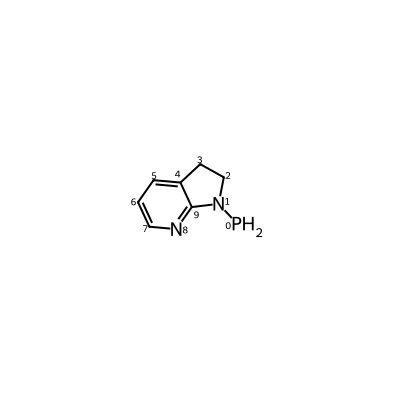 PN1CCc2cccnc21